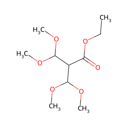 CCOC(=O)C(C(OC)OC)C(OC)OC